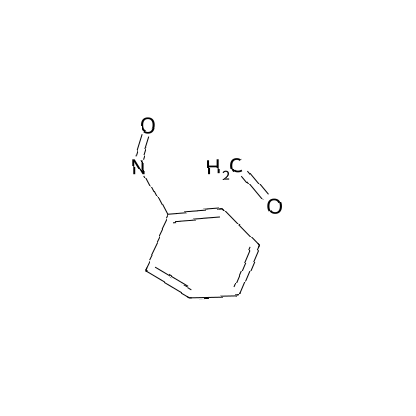 C=O.O=Nc1ccccc1